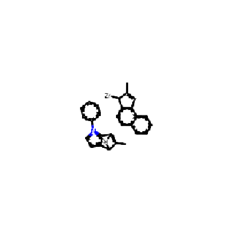 CC1=C2c3c(ccn3-c3ccccc3)C1[Si]2(C)C.CC1=Cc2c(ccc3ccccc23)[CH]1[Zr]